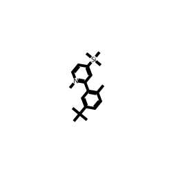 Cc1ccc(C(C)(C)C)cc1-c1cc([Si](C)(C)C)cc[n+]1C